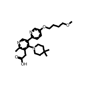 COCCCCOc1ccc(-c2cnc(C)c(CC(=O)O)c2N2CCC(C)(C)CC2)nc1